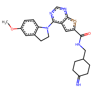 COc1ccc2c(c1)CCN2c1ncnc2sc(C(=O)NCC3CCC(=N)CC3)cc12